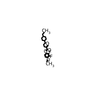 CCCC1CCC(C2CCC(C(=O)Oc3ccc(OCC)c(F)c3F)=CO2)CC1